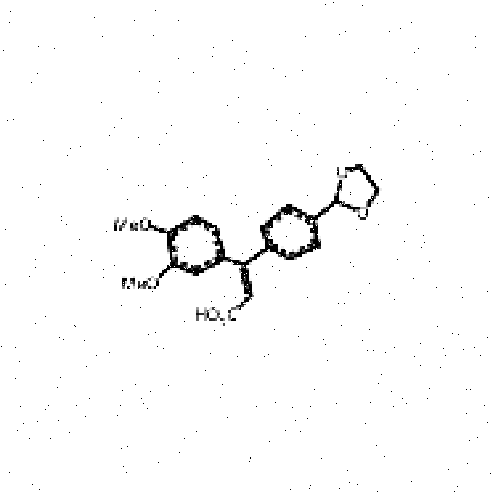 COc1ccc(/C(=C\C(=O)O)c2ccc(C3OCCO3)cc2)cc1OC